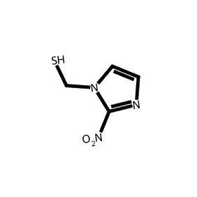 O=[N+]([O-])c1nccn1CS